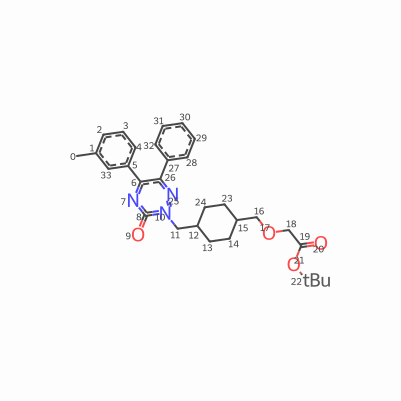 Cc1cccc(-c2nc(=O)n(CC3CCC(COCC(=O)OC(C)(C)C)CC3)nc2-c2ccccc2)c1